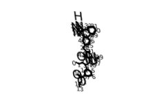 CCCC(c1cccc(C(=O)OCC)c1)C1CCC(C)n2cc(Cc3ccc(-c4ccccc4-c4nnn[nH]4)cc3)c(=O)n21